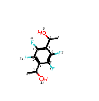 CC(O)c1c(F)c(F)c(C(C)O)c(F)c1F